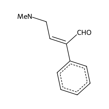 CNCC=C(C=O)c1ccccc1